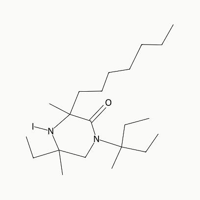 CCCCCCCC1(C)C(=O)N(C(C)(CC)CC)CC(C)(CC)N1I